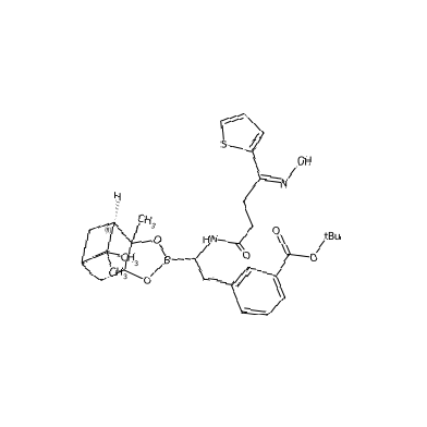 CC(C)(C)OC(=O)c1cccc(CC(NC(=O)CCC(=NO)c2cccs2)B2OC3CC4C[C@H](C4(C)C)C3(C)O2)c1